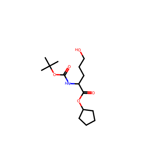 CC(C)(C)OC(=O)NC(CCCO)C(=O)OC1CCCC1